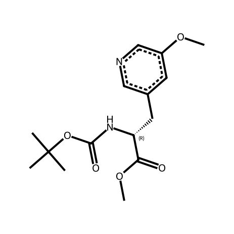 COC(=O)[C@@H](Cc1cncc(OC)c1)NC(=O)OC(C)(C)C